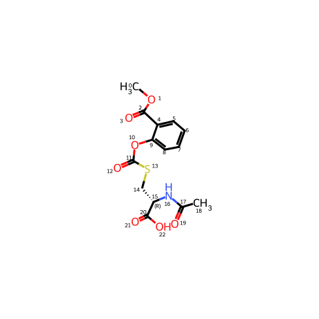 COC(=O)c1ccccc1OC(=O)SC[C@H](NC(C)=O)C(=O)O